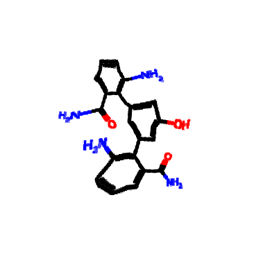 NC(=O)c1cccc(N)c1-c1cc(O)cc(-c2c(N)cccc2C(N)=O)c1